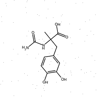 CC(Cc1ccc(O)c(O)c1)(NC(N)=O)C(=O)O